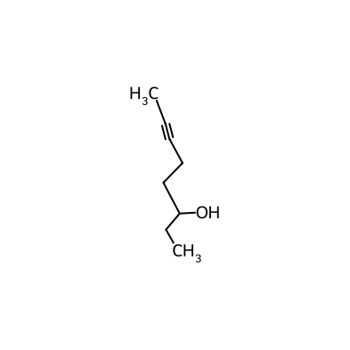 CC#CCCC(O)CC